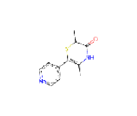 CC1=C(c2ccncc2)SC(C)C(=O)N1